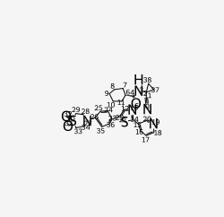 N#CC1(NC(=O)[C@@H]2CCCC[C@H]2c2nc(-c3cccnc3)sc2-c2ccc(N3CCS(=O)(=O)CC3)cc2)CC1